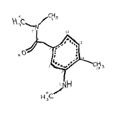 CNc1cc(C(=O)N(C)C)ccc1C